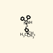 CC(C)(C)c1ccc(CSC2=NC(c3ccccc3)C(c3ccccc3)N2)cc1